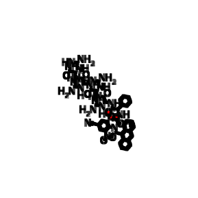 N#Cc1cc([N+](=O)[O-])c(N(Cc2c3ccccc3cc3ccccc23)C(O)C(=O)NC(C(=O)NC(NC(=N)N)C(=O)NC(NC(=N)N)C(=O)NC(NC(=N)N)C(=O)NC(NC(=N)N)C(N)=O)c2ccccc2)c([N+](=O)[O-])c1